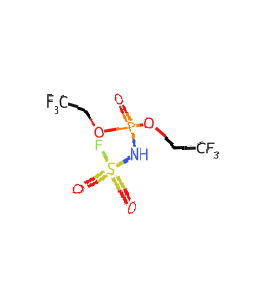 O=P(NS(=O)(=O)F)(OCC(F)(F)F)OCC(F)(F)F